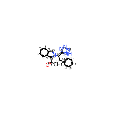 O=CC(=O)c1c2ccccc2cn1C(Cc1ccccc1)c1nnn[nH]1